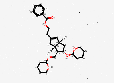 O=C(OCCC1=C[C@@H]2C[C@H](OC3CCCCO3)[C@@H](COC3CCCCO3)[C@@H]2C1)c1ccccc1